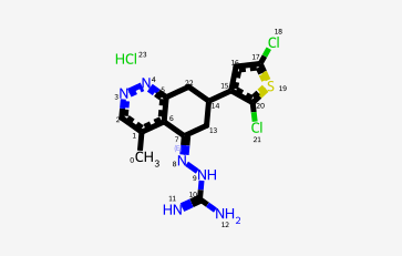 Cc1cnnc2c1/C(=N/NC(=N)N)CC(c1cc(Cl)sc1Cl)C2.Cl